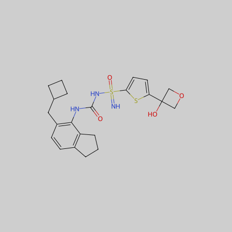 N=S(=O)(NC(=O)Nc1c(CC2CCC2)ccc2c1CCC2)c1ccc(C2(O)COC2)s1